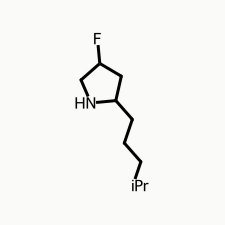 CC(C)CCCC1CC(F)CN1